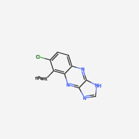 CCCCCc1c(Cl)ccc2nc3[nH]cnc3nc12